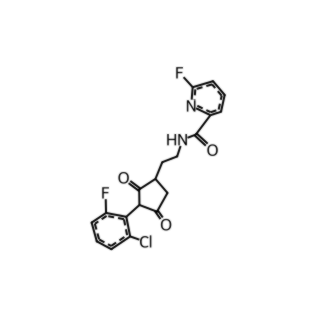 O=C(NCCC1CC(=O)C(c2c(F)cccc2Cl)C1=O)c1cccc(F)n1